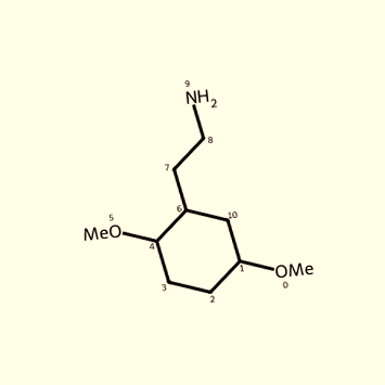 COC1CCC(OC)C(CCN)C1